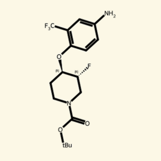 CC(C)(C)OC(=O)N1CC[C@@H](Oc2ccc(N)cc2C(F)(F)F)[C@H](F)C1